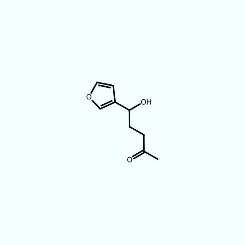 CC(=O)CCC(O)c1ccoc1